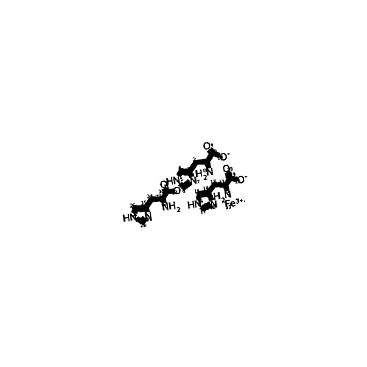 NC(Cc1c[nH]cn1)C(=O)[O-].NC(Cc1c[nH]cn1)C(=O)[O-].NC(Cc1c[nH]cn1)C(=O)[O-].[Fe+3]